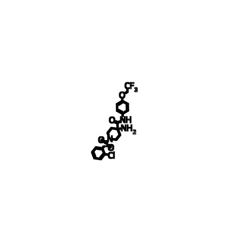 NC1(C(=O)Nc2ccc(OCC(F)(F)F)cc2)CCN(S(=O)(=O)c2ccccc2Cl)CC1